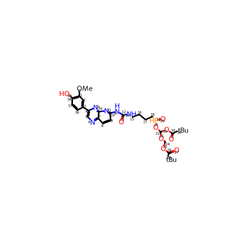 COc1cc(-c2cnc3ccc(NC(=O)NCCCC[PH](=O)OC(OCOC(=O)C(C)(C)C)OC(=O)C(C)(C)C)nc3n2)ccc1O